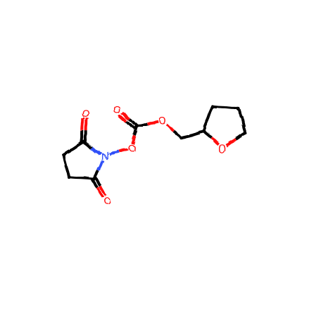 O=C(OCC1CCCO1)ON1C(=O)CCC1=O